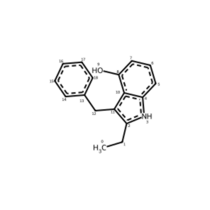 CCc1[nH]c2cccc(O)c2c1Cc1ccccc1